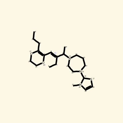 CCCC1=C(/C=C(\CC)C(C)N2CCCN(C3SC=CN3C)CC2)OCCO1